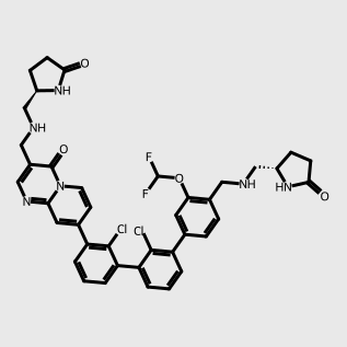 O=C1CC[C@H](CNCc2cnc3cc(-c4cccc(-c5cccc(-c6ccc(CNC[C@@H]7CCC(=O)N7)c(OC(F)F)c6)c5Cl)c4Cl)ccn3c2=O)N1